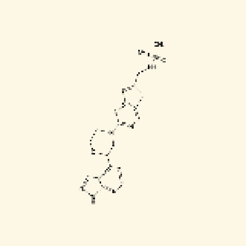 CS(=O)(=O)NCc1cc2nc(N3CCOC(c4cccc5[nH]ncc45)C3)ncc2s1